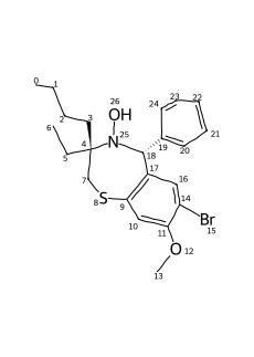 CCCC[C@]1(CC)CSc2cc(OC)c(Br)cc2[C@@H](c2ccccc2)N1O